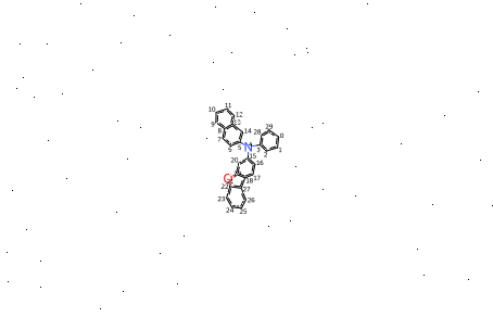 c1ccc(N(c2ccc3ccccc3c2)c2ccc3c(c2)oc2ccccc23)cc1